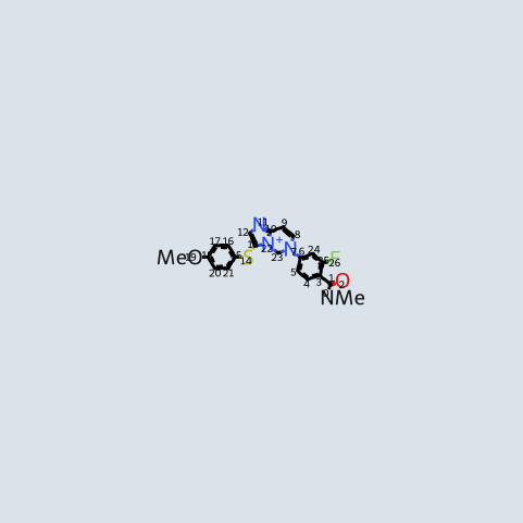 CNC(=O)c1ccc(N2C=CC3=NC=C(Sc4ccc(OC)cc4)[N+]3C2)cc1F